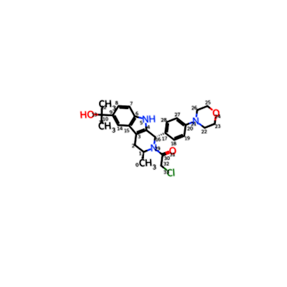 C[C@H]1Cc2c([nH]c3ccc(C(C)(C)O)cc23)[C@H](c2ccc(N3CCOCC3)cc2)N1C(=O)CCl